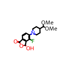 COC(OC)C1CCN(c2ccc3c(c2F)C(O)OC3=O)CC1